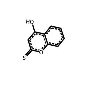 Oc1cc(=S)oc2ccccc12